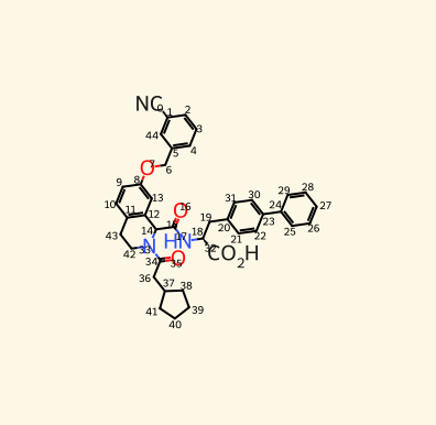 N#Cc1cccc(COc2ccc3c(c2)C(C(=O)N[C@@H](Cc2ccc(-c4ccccc4)cc2)C(=O)O)N(C(=O)CC2CCCC2)CC3)c1